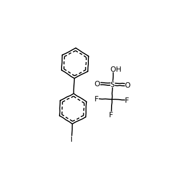 Ic1ccc(-c2ccccc2)cc1.O=S(=O)(O)C(F)(F)F